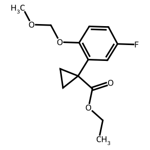 CCOC(=O)C1(c2cc(F)ccc2OCOC)CC1